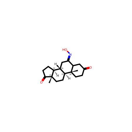 C[C@]12CCC(=O)CC1C(=NO)C[C@@H]1[C@@H]2CC[C@]2(C)C(=O)CC[C@@H]12